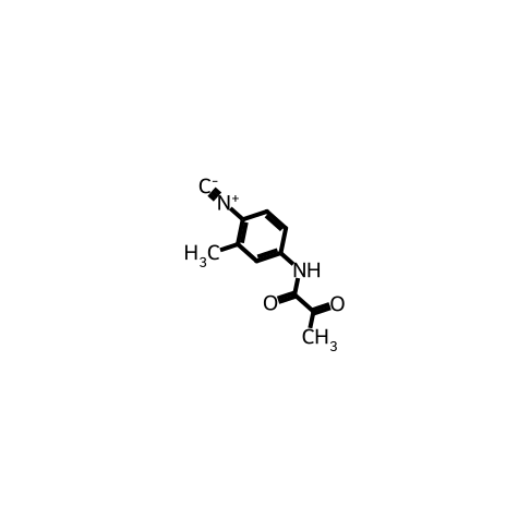 [C-]#[N+]c1ccc(NC(=O)C(C)=O)cc1C